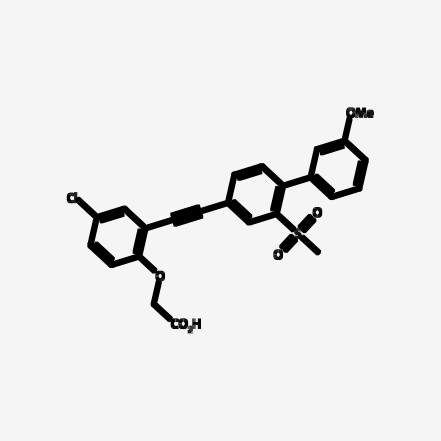 COc1cccc(-c2ccc(C#Cc3cc(Cl)ccc3OCC(=O)O)cc2S(C)(=O)=O)c1